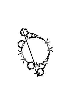 C[Si]1(C)O[Si](C)(C)c2cccc(c2)-n2c3ccc4cc3c3cc(ccc32)[Si](C)(C)O[Si](C)(C)c2ccc3c(c2)c2cc(ccc2n3-c2cccc1c2)[Si](C)(C)O[Si]4(C)C